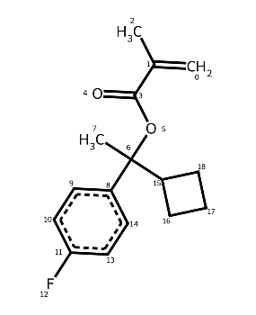 C=C(C)C(=O)OC(C)(c1ccc(F)cc1)C1CCC1